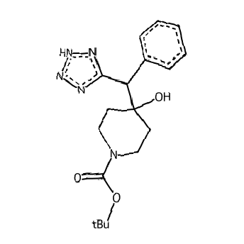 CC(C)(C)OC(=O)N1CCC(O)(C(c2ccccc2)c2nn[nH]n2)CC1